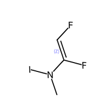 CN(I)/C(F)=C/F